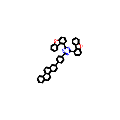 c1ccc2c(c1)ccc1c3ccc(-c4ccc(-c5nc(-c6cccc7oc8ccccc8c67)nc(-c6cccc7oc8ccccc8c67)n5)cc4)cc3ccc21